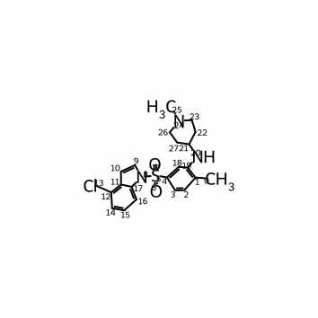 Cc1ccc(S(=O)(=O)n2ccc3c(Cl)cccc32)cc1NC1CCN(C)CC1